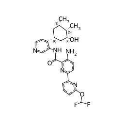 C[C@@H]1[C@H](O)C[C@H](c2ccncc2NC(=O)c2nc(-c3cccc(OC(F)F)n3)ccc2N)C[C@@H]1C